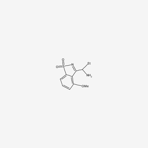 CCC(N)C1=NS(=O)(=O)c2cccc(OC)c21